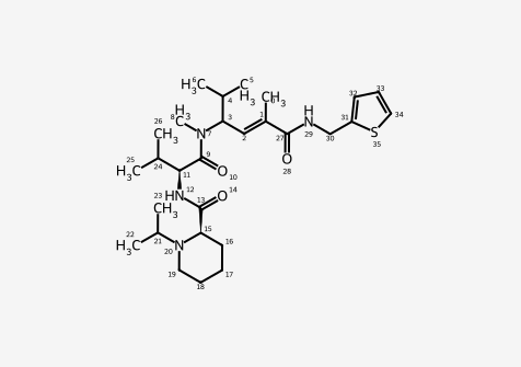 C/C(=C\C(C(C)C)N(C)C(=O)[C@@H](NC(=O)[C@H]1CCCCN1C(C)C)C(C)C)C(=O)NCc1cccs1